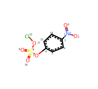 O=[N+]([O-])c1ccc(OS(=O)(=O)OCl)cc1